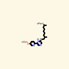 CCCCCCCCOc1ccc(-c2cncc([SiH2]CC(C)CCCCCC(C)CCCCC)n2)nc1